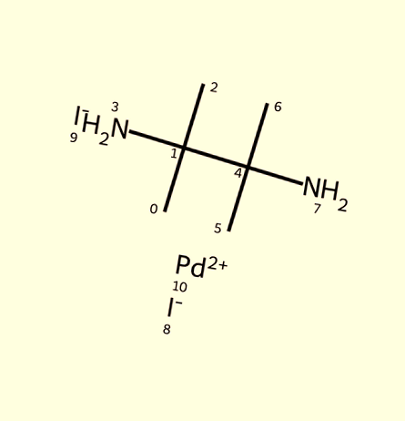 CC(C)(N)C(C)(C)N.[I-].[I-].[Pd+2]